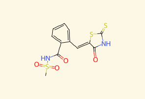 CS(=O)(=O)NC(=O)c1ccccc1/C=C1\SC(=S)NC1=O